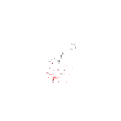 C=C1C[C@@]23CC[C@H]4[C@@](C)(CCC[C@@]4(C)C(=O)O[C@H]4C[C@@H](O)[C@H](O)[C@@H](COC(=O)CC(=O)O)O4)[C@@H]2CC[C@@]1(O[C@@H]1O[C@H](CO)[C@@H](O)[C@H](O[C@@H]2O[C@H](CO)C[C@H](O)[C@H]2O)[C@H]1O[C@@H]1O[C@H](CO)[C@@H](O)[C@H](O)C1O)C3C